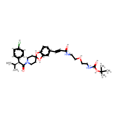 CC(C)[C@H](C(=O)N1CCC2(CC1)Oc1ccc(C#CC(=O)NCCOCCNC(=O)OC(C)(C)C)cc1O2)c1ccc(Cl)cc1